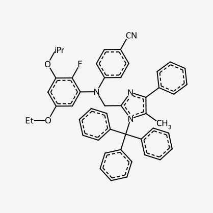 CCOc1cc(OC(C)C)c(F)c(N(Cc2nc(-c3ccccc3)c(C)n2C(c2ccccc2)(c2ccccc2)c2ccccc2)c2ccc(C#N)cc2)c1